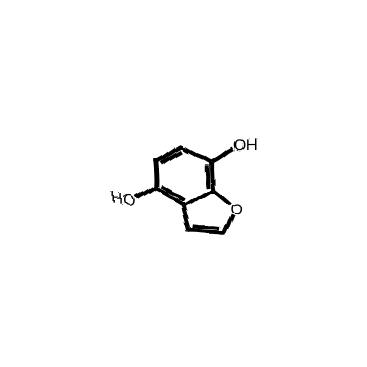 Oc1ccc(O)c2occc12